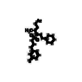 CC(=O)SC[C@@H](C)N(CCN1CCCCC1)S(=O)(=O)CCCC1=CC(=S)CC=C1